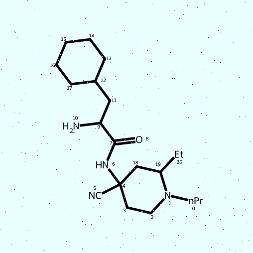 CCCN1CCC(C#N)(NC(=O)C(N)CC2CCCCC2)CC1CC